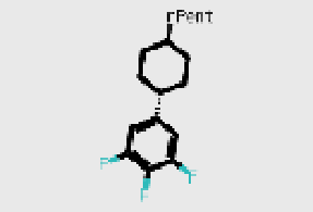 CCCCC[C@H]1CC[C@H](c2cc(F)c(F)c(F)c2)CC1